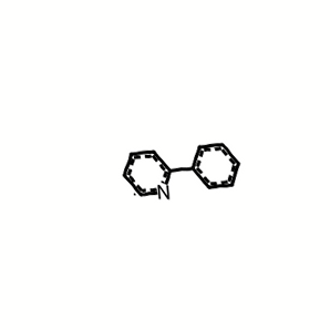 [c]1cccc(-c2ccccc2)n1